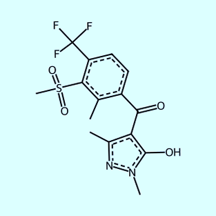 Cc1nn(C)c(O)c1C(=O)c1ccc(C(F)(F)F)c(S(C)(=O)=O)c1C